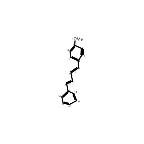 COc1c#cc(/C=C/C=C/c2ccccc2)cc1